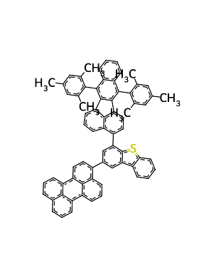 Cc1cc(C)c(-c2c3c(c(-c4c(C)cc(C)cc4C)c4ccccc24)-c2ccc(-c4cc(-c5ccc6c7cccc8cccc(c9cccc5c96)c87)cc5c4sc4ccccc45)c4cccc-3c24)c(C)c1